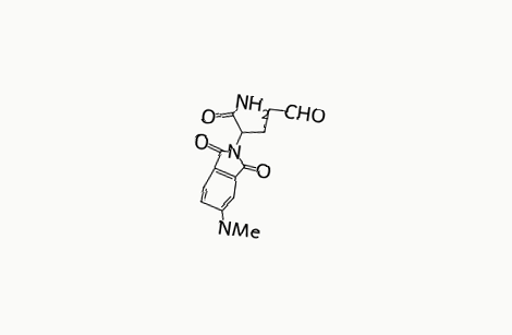 CNc1ccc2c(c1)C(=O)N(C(CCC=O)C(N)=O)C2=O